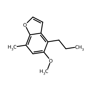 CCCc1c(OC)cc(C)c2occc12